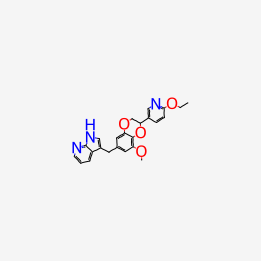 CCOc1ccc(C2COc3cc(Cc4c[nH]c5ncccc45)cc(OC)c3O2)cn1